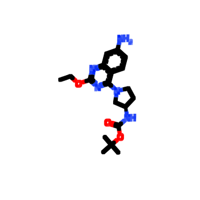 CCOc1nc(N2CC[C@@H](NC(=O)OC(C)(C)C)C2)c2ccc(N)cc2n1